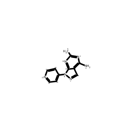 Cc1nc(N)c2cnn(-c3ccncc3)c2n1